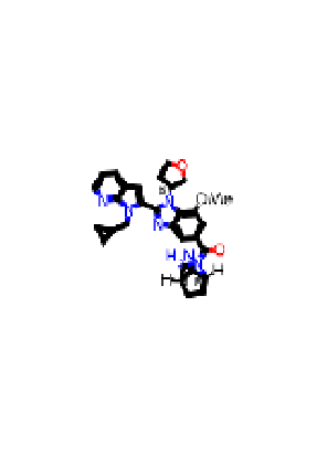 COc1cc(C(=O)N2C[C@H]3CC[C@@H]2C3N)cc2nc(-c3cc4cccnc4n3CC3CC3)n([C@H]3CCOC3)c12